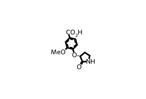 COc1cc(C(=O)O)ccc1O[C@@H]1CCNC1=O